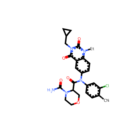 CCn1c(=O)n(CC2CC2)c(=O)c2cc(N(C(=O)C3COCCN3C(N)=O)c3ccc(C#N)c(Cl)c3)ccc21